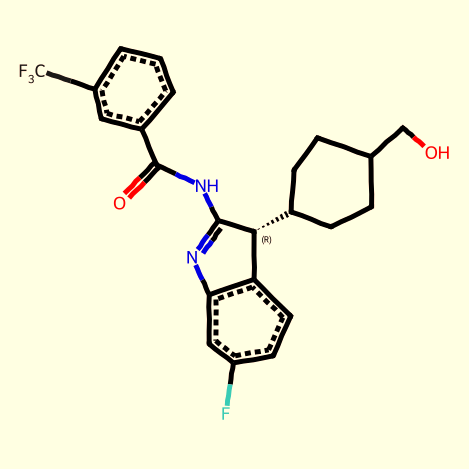 O=C(NC1=Nc2cc(F)ccc2[C@H]1C1CCC(CO)CC1)c1cccc(C(F)(F)F)c1